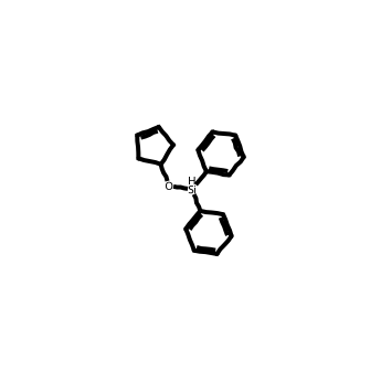 C1=CCC(O[SiH](c2ccccc2)c2ccccc2)C1